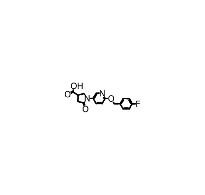 O=C(O)C1CC(=O)N(c2ccc(OCc3ccc(F)cc3)nc2)C1